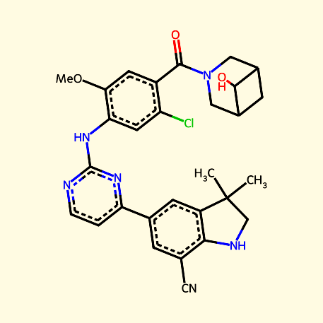 COc1cc(C(=O)N2CC3CC(C2)C3O)c(Cl)cc1Nc1nccc(-c2cc(C#N)c3c(c2)C(C)(C)CN3)n1